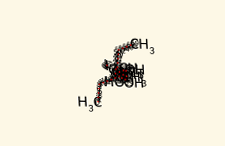 CCCCCCCC/C=C\CCCCCCCC(=O)OC(C[N+](C)(CCO)CCO)C(C[N+](C)(CCO)CCO)OC(=O)CCCCCCC/C=C\CCCCCCCC.[I-].[I-]